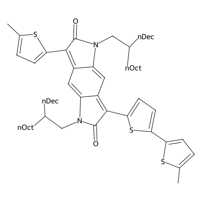 CCCCCCCCCCC(CCCCCCCC)CN1C(=O)C(c2ccc(C)s2)=c2cc3c(cc21)=C(c1ccc(-c2ccc(C)s2)s1)C(=O)N3CC(CCCCCCCC)CCCCCCCCCC